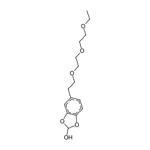 CCOCCOCCOCCc1ccc2c(c1)OC(O)O2